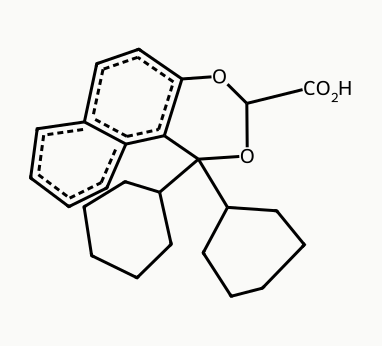 O=C(O)C1Oc2ccc3ccccc3c2C(C2CCCCC2)(C2CCCCC2)O1